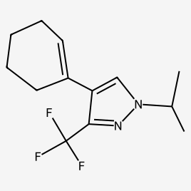 CC(C)n1cc(C2=CCCCC2)c(C(F)(F)F)n1